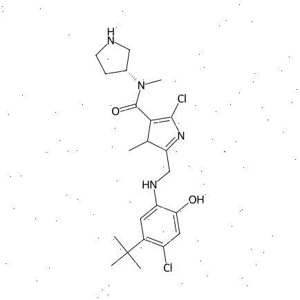 CC1C(CNc2cc(C(C)(C)C)c(Cl)cc2O)=NC(Cl)=C1C(=O)N(C)[C@@H]1CCNC1